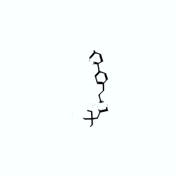 CCC(CF)(CF)Cc1cnc(CCc2ccc(-c3ccc(F)cn3)cc2)[nH]1